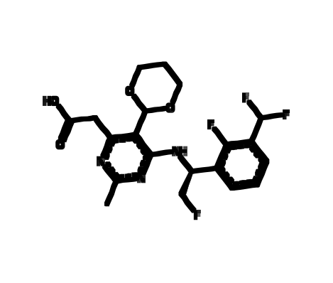 Cc1nc(CC(=O)O)c(C2OCCCO2)c(N[C@H](CF)c2cccc(C(F)F)c2F)n1